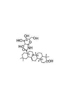 CC1(C)CC[C@]2(C(=O)N[C@H]3OC(CO)[C@H](O)[C@@H](O)C3O)CC[C@]3(C)C(=CCC4[C@@]5(C)CC[C@H](O)C(C)(C)C5CC[C@]43C)C2C1